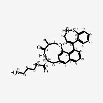 CC1COc2cc(cc3cccc(C4=CCNSc5ccccc54)c23)C[C@H](C(=O)NCCCN)NC1=O